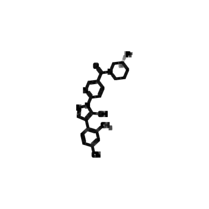 Cc1cc(C#N)ccc1-c1cnn(-c2ccc(C(=O)N3CCC[C@@H](C(C)C)C3)cn2)c1O